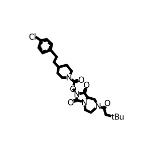 CC(C)(C)CC(=O)N1CCN2C(=O)N(OC(=O)N3CCC(CCc4ccc(Cl)cc4)CC3)C(=O)C2C1